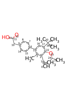 C#Cc1c(C)c(-c2ccc(CC(=O)O)cc2)cc(C(C)(C)C)c1OC(C)C